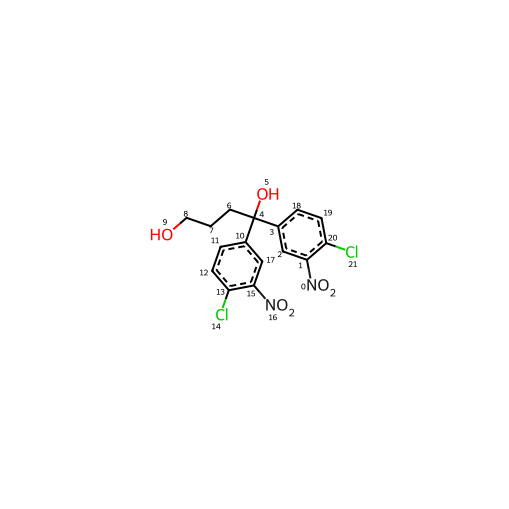 O=[N+]([O-])c1cc(C(O)(CCCO)c2ccc(Cl)c([N+](=O)[O-])c2)ccc1Cl